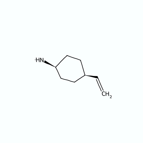 C=C[C@H]1CC[C@@H]([NH])CC1